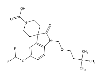 C[Si](C)(C)CCOCN1C(=O)C2(CCN(C(=O)O)CC2)c2cc(OC(F)F)ccc21